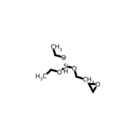 C1CO1.CCO[SiH](OCC)OCC